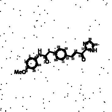 COc1ccc(NC(=O)Cc2ccc(/C=C/C(=O)c3ncc[nH]3)cc2)cc1